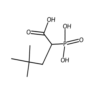 CC(C)(C)CC(C(=O)O)P(=O)(O)O